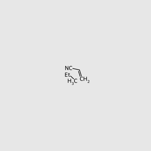 C=CC#N.CCC